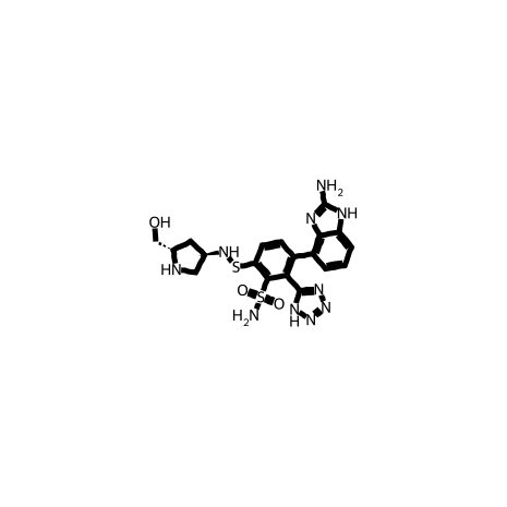 Nc1nc2c(-c3ccc(SN[C@H]4CN[C@H](CO)C4)c(S(N)(=O)=O)c3-c3nnn[nH]3)cccc2[nH]1